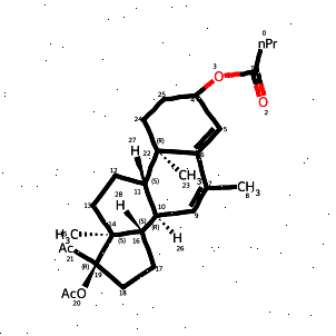 CCCC(=O)OC1C=C2C(C)=C[C@@H]3[C@H](CC[C@@]4(C)[C@H]3CC[C@]4(OC(C)=O)C(C)=O)[C@@]2(C)CC1